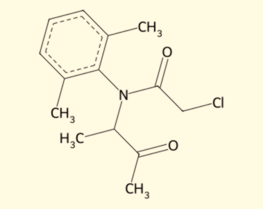 CC(=O)C(C)N(C(=O)CCl)c1c(C)cccc1C